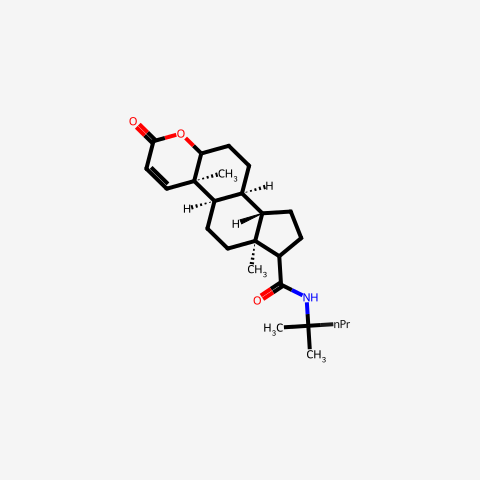 CCCC(C)(C)NC(=O)C1CC[C@H]2[C@@H]3CCC4OC(=O)C=C[C@]4(C)[C@@H]3CC[C@]12C